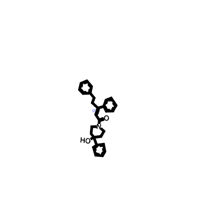 O=C(/C=C(/CCc1ccccc1)c1ccccc1)N1CCC(O)(c2ccccc2)CC1